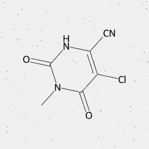 Cn1c(=O)[nH]c(C#N)c(Cl)c1=O